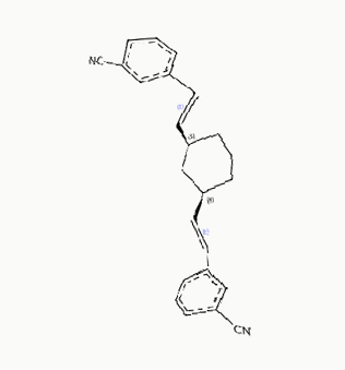 N#Cc1cccc(/C=C/[C@@H]2CCC[C@H](/C=C/c3cccc(C#N)c3)C2)c1